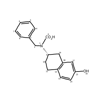 O=C(O)N(Cc1ccccc1)[C@H]1CCc2ccc(O)cc2C1